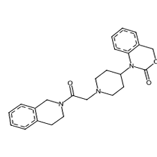 O=C(CN1CCC(N2C(=O)OCc3ccccc32)CC1)N1CCc2ccccc2C1